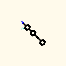 N#Cc1ccc(-c2ccc(C#Cc3ccccc3)cc2)cc1F